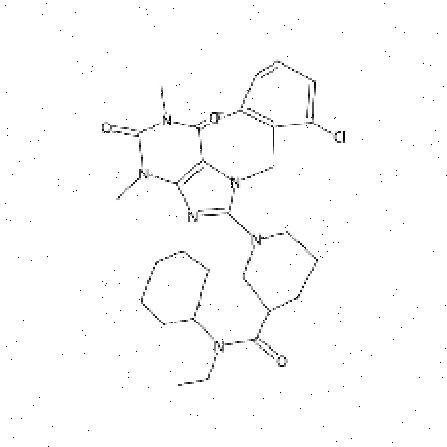 CCN(C(=O)C1CCCN(c2nc3c(c(=O)n(C)c(=O)n3C)n2Cc2c(F)cccc2Cl)C1)C1CCCCC1